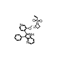 C=CS(=O)(=O)N1CC[C@@H]1COc1cnccc1-c1[nH]c2cccnc2c1-c1ccccc1